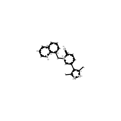 Cc1noc(C)c1-c1ccc(=O)n(Cc2cccc3cccnc23)c1